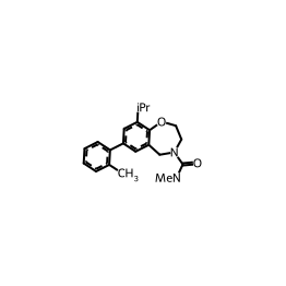 CNC(=O)N1CCOc2c(cc(-c3ccccc3C)cc2C(C)C)C1